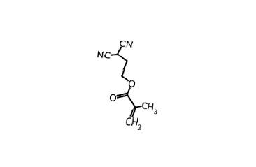 C=C(C)C(=O)OCCC(C#N)C#N